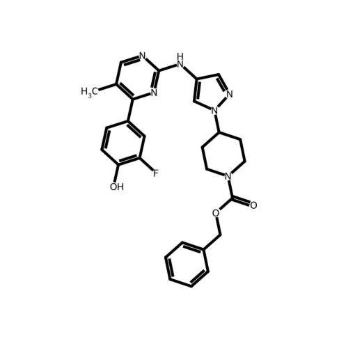 Cc1cnc(Nc2cnn(C3CCN(C(=O)OCc4ccccc4)CC3)c2)nc1-c1ccc(O)c(F)c1